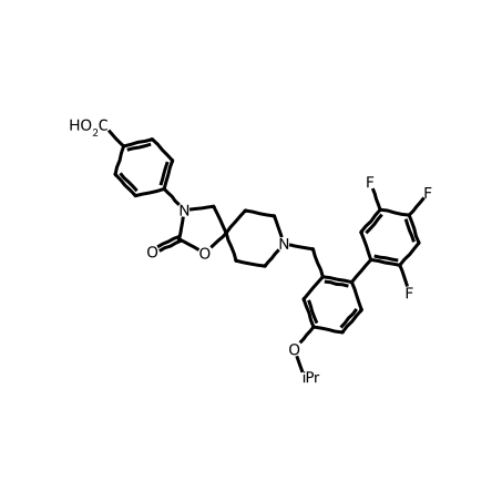 CC(C)Oc1ccc(-c2cc(F)c(F)cc2F)c(CN2CCC3(CC2)CN(c2ccc(C(=O)O)cc2)C(=O)O3)c1